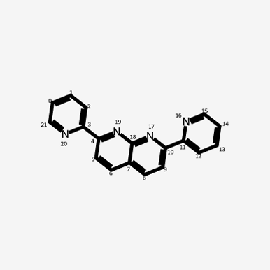 c1ccc(-c2ccc3ccc(-c4ccccn4)nc3n2)nc1